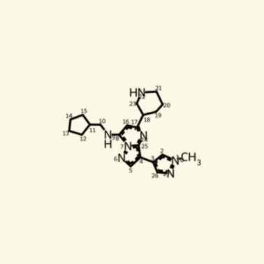 Cn1cc(-c2cnn3c(NCC4CCCC4)cc(C4CCCNC4)nc23)cn1